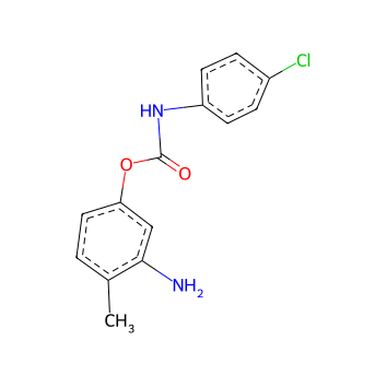 Cc1ccc(OC(=O)Nc2ccc(Cl)cc2)cc1N